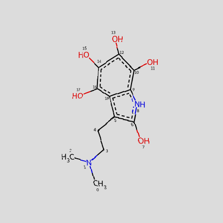 CN(C)CCc1c(O)[nH]c2c(O)c(O)c(O)c(O)c12